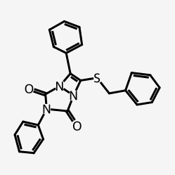 O=c1n(-c2ccccc2)c(=O)n2c(-c3ccccc3)c(SCc3ccccc3)n12